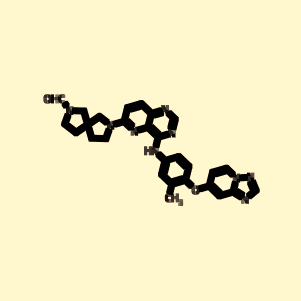 Cc1cc(Nc2ncnc3ccc(N4CCC5(CCN(C=O)C5)C4)nc23)ccc1Oc1ccn2ncnc2c1